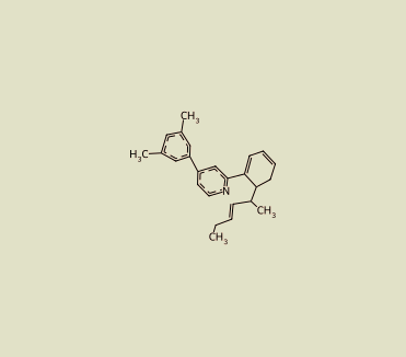 CCC=CC(C)C1CC=CC=C1c1cc(-c2cc(C)cc(C)c2)ccn1